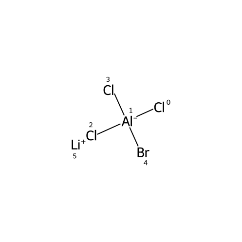 [Cl][Al-]([Cl])([Cl])[Br].[Li+]